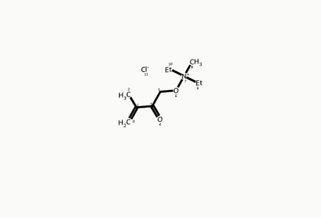 C=C(C)C(=O)CO[N+](C)(CC)CC.[Cl-]